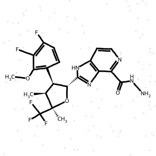 COc1c([C@H]2[C@H](c3nc4c(C(=O)NN)nccc4[nH]3)O[C@@](C)(C(F)(F)F)[C@H]2C)ccc(F)c1F